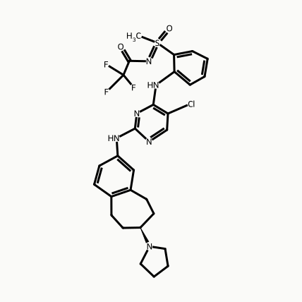 CS(=O)(=NC(=O)C(F)(F)F)c1ccccc1Nc1nc(Nc2ccc3c(c2)CC[C@@H](N2CCCC2)CC3)ncc1Cl